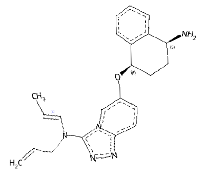 C=CCN(/C=C/C)c1nnc2ccc(O[C@@H]3CC[C@H](N)c4ccccc43)cn12